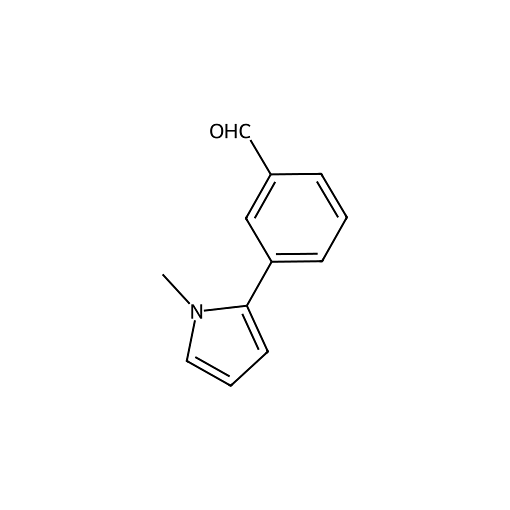 Cn1cccc1-c1cccc(C=O)c1